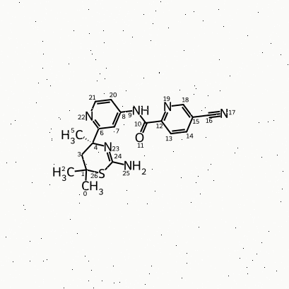 CC1(C)C[C@@](C)(c2cc(NC(=O)c3ccc(C#N)cn3)ccn2)N=C(N)S1